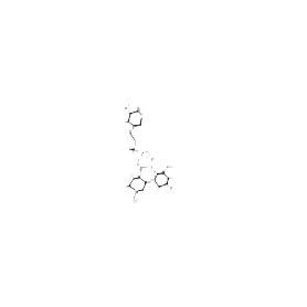 Cc1ccc(N2CCN(C(=O)/C=C/c3cccc(Cl)c3)CC2c2ccc(Cl)cc2)c(Cl)c1